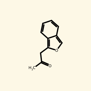 CC(=O)Cc1occ2ccccc12